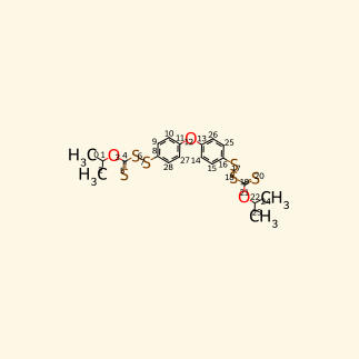 CC(C)OC(=S)SSc1ccc(Oc2ccc(SSC(=S)OC(C)C)cc2)cc1